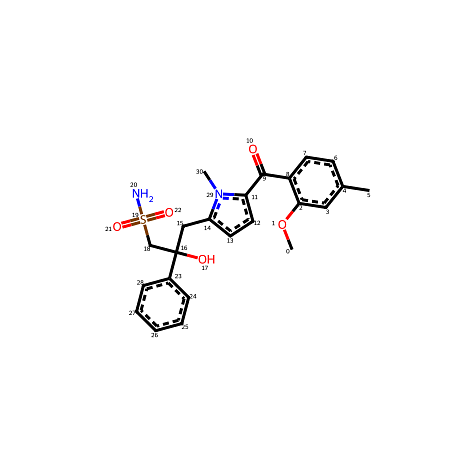 COc1cc(C)ccc1C(=O)c1ccc(CC(O)(CS(N)(=O)=O)c2ccccc2)n1C